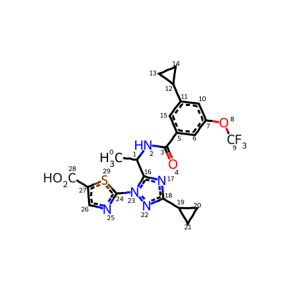 CC(NC(=O)c1cc(OC(F)(F)F)cc(C2CC2)c1)c1nc(C2CC2)nn1-c1ncc(C(=O)O)s1